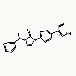 C=C/C(=C\N)c1ccc(-n2ccn(C(C)c3ccccc3)c2=O)cc1